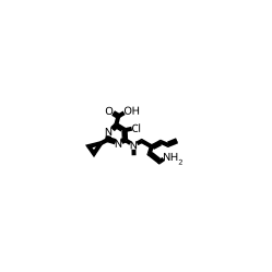 C=C/C=C(\C=C/N)CN(C)c1nc(C2CC2)nc(C(=O)O)c1Cl